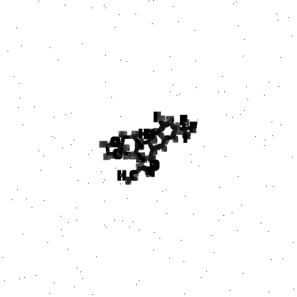 Cc1noc(C2=Cc3cc(C(F)(F)F)cc(F)c3NC2N2CCC3(CC2)OCCO3)n1